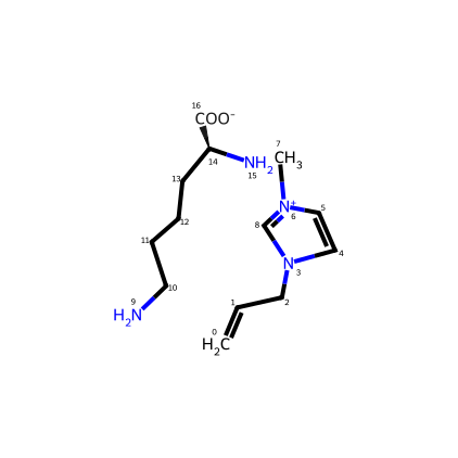 C=CCn1cc[n+](C)c1.NCCCC[C@H](N)C(=O)[O-]